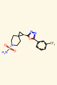 NS(=O)(=O)N1CCC2(CC1)C[C@H]2c1nnc(-c2cccc(C(F)(F)F)c2)o1